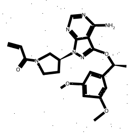 C=CC(=O)N1CC[C@H](n2nc(O[C@@H](C)c3cc(OC)cc(OC)c3)c3c(N)ncnc32)C1